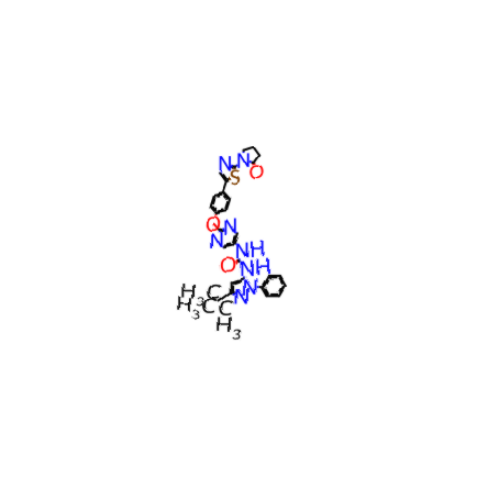 CC(C)(C)c1cc(NC(=O)Nc2cnc(Oc3ccc(-c4cnc(N5CCCC5=O)s4)cc3)nc2)n(-c2ccccc2)n1